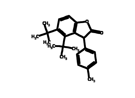 Cc1ccc(C2C(=O)Oc3ccc(C(C)(C)C)c(C(C)(C)C)c32)cc1